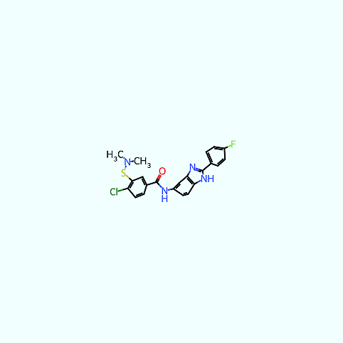 CN(C)Sc1cc(C(=O)Nc2ccc3[nH]c(-c4ccc(F)cc4)nc3c2)ccc1Cl